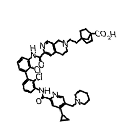 O=C(Nc1cccc(-c2cccc(NC(=O)c3cc(C4CC4)c(CN4CCCCC4)cn3)c2Cl)c1Cl)c1cc2c(cn1)CN(CCC13CCC(C(=O)O)(CC1)C3)CC2